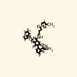 Cc1ccn(C(=O)CCCCNc2nc(OC[C@@]34CCCN3C[C@H](F)C4)nc3c(F)c(-c4ccc(F)c5sc(N)c(C#N)c45)c(Cl)cc23)n1